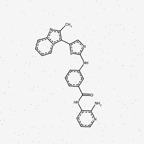 Cc1nc2ccccn2c1-c1cnc(Nc2cccc(C(=O)Nc3cccnc3N)c2)s1